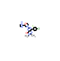 Cc1nc2c(-c3ccc(Cl)cc3F)nc(N3CCOC(c4ncc[nH]4)C3)nc2c(=O)n1C